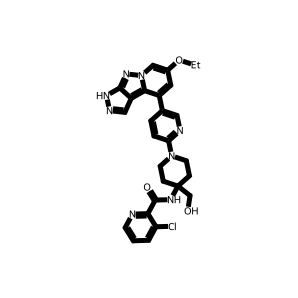 CCOc1cc(-c2ccc(N3CCC(CO)(NC(=O)c4ncccc4Cl)CC3)nc2)c2c3cn[nH]c3nn2c1